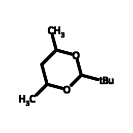 CC1CC(C)OC(C(C)(C)C)O1